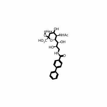 CCCCCCO[C@]1(C(=O)O)CC(O)[C@@H](NC(C)=O)[C@H]([C@H](O)[C@H](O)CNC(=O)c2ccc(-c3ccccc3)cc2)O1